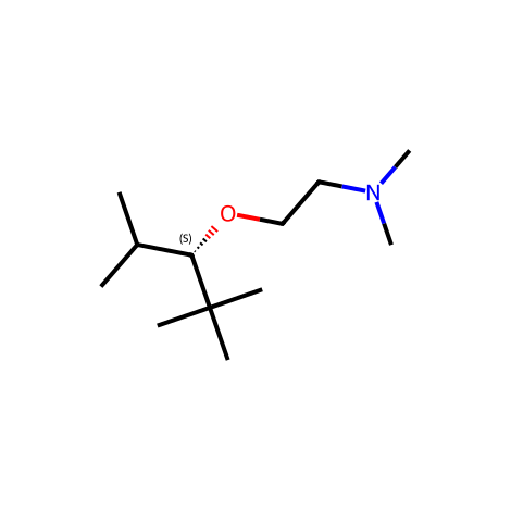 CC(C)[C@H](OCCN(C)C)C(C)(C)C